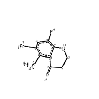 Cc1c(C(C)C)cc(F)c2c1C(=O)CCO2